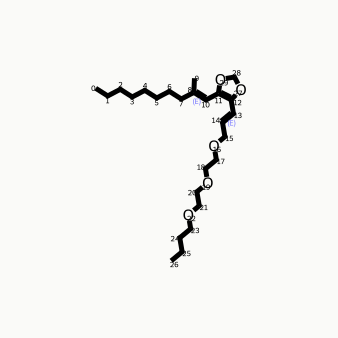 CCCCCCCC/C(C)=C/C1=C(/C=C/COCCOCCOCCCC)OCO1